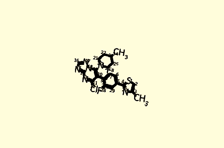 Cc1csc(-c2cc(F)c(-c3c(Cl)nc4ncnn4c3N3CCC(C)CC3)c(F)c2)n1